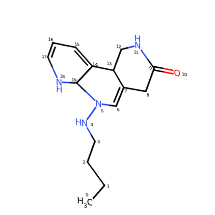 CCCCNN1C=C2CC(=O)NCC2C2=CC=CNC21